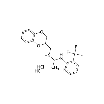 CC(NCC1COc2ccccc2O1)Nc1ncccc1C(F)(F)F.Cl.Cl